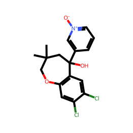 CC1(C)COc2cc(Cl)c(Cl)cc2C(O)(c2ccc[n+]([O-])c2)C1